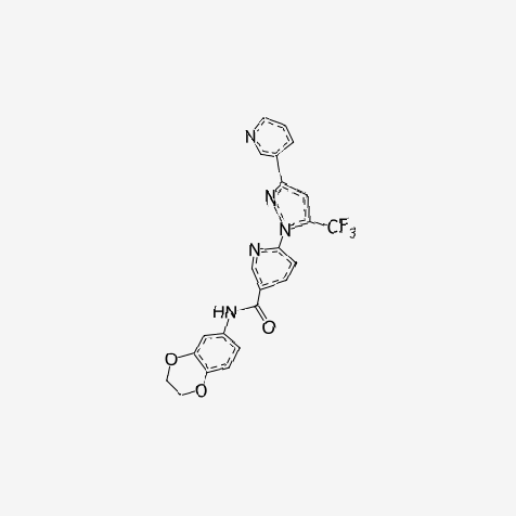 O=C(Nc1ccc2c(c1)OCCO2)c1ccc(-n2nc(-c3cccnc3)cc2C(F)(F)F)nc1